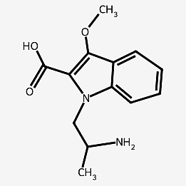 COc1c(C(=O)O)n(CC(C)N)c2ccccc12